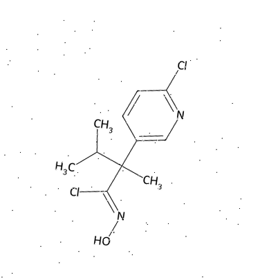 CC(C)C(C)(C(Cl)=NO)c1ccc(Cl)nc1